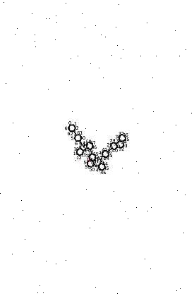 c1ccc(-c2ccc(-n3c4ccccc4c4c(-c5cccc(N(c6ccc(-c7ccc8c(ccc9ccccc98)c7)cc6)c6ccccc6-c6ccccc6)c5)cccc43)cc2)cc1